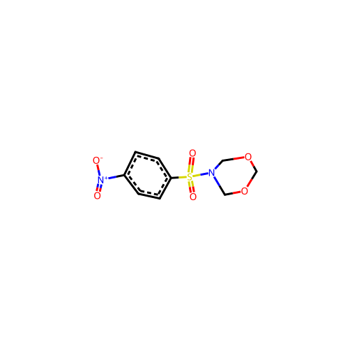 O=[N+]([O-])c1ccc(S(=O)(=O)N2COCOC2)cc1